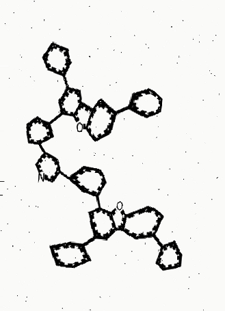 c1ccc(-c2ccc3oc4c(-c5cccc(-c6cncc(-c7cccc(-c8cc(-c9ccccc9)cc9c8oc8ccc(-c%10ccccc%10)cc89)c7)c6)c5)cc(-c5ccccc5)cc4c3c2)cc1